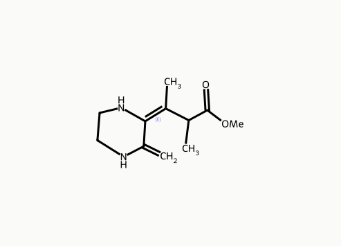 C=C1NCCN/C1=C(\C)C(C)C(=O)OC